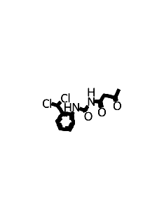 CC(=O)CC(=O)NC(=O)Nc1ccccc1C(Cl)Cl